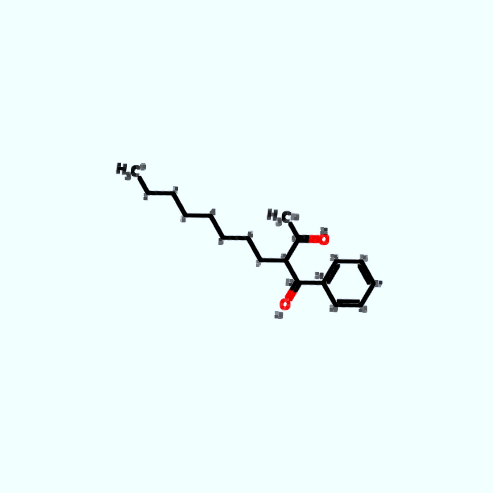 CCCCCCCCC(C(C)=O)C(=O)c1ccccc1